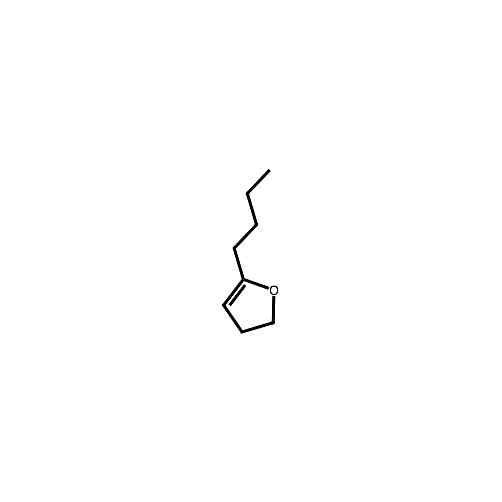 CCCCC1=CCCO1